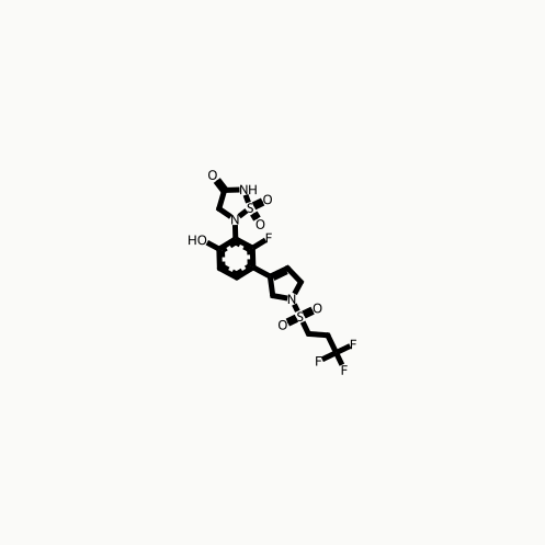 O=C1CN(c2c(O)ccc(C3=CCN(S(=O)(=O)CCC(F)(F)F)C3)c2F)S(=O)(=O)N1